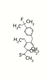 C=CC(=C/C(=C)C(C)=S)/C(=C\C)Cc1ccc(C(C)(C)F)cc1